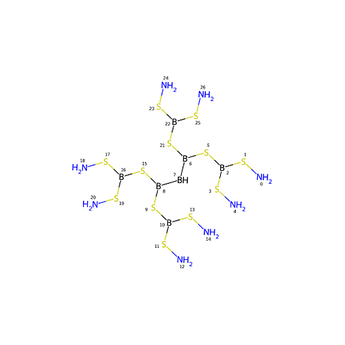 NSB(SN)SB(BB(SB(SN)SN)SB(SN)SN)SB(SN)SN